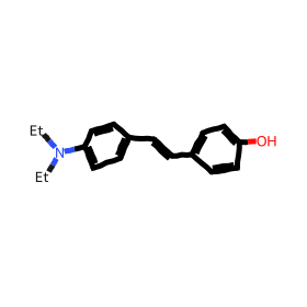 CCN(CC)c1ccc(/C=C/c2ccc(O)cc2)cc1